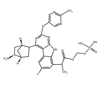 Cc1ncc(Oc2nc(N3C[C@H]4C[C@@H]3C[C@@H]4N)c3c(n2)[nH]c2c(N(C)C(=O)OCOP(=O)(O)O)cc(F)cc23)cn1